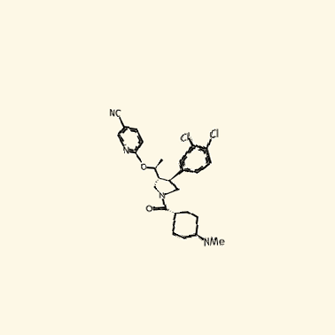 CN[C@H]1CC[C@H](C(=O)N2C[C@H]([C@H](C)Oc3ccc(C#N)cn3)[C@@H](c3ccc(Cl)c(Cl)c3)C2)CC1